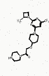 C[C@H]1CCN1c1nc(N2CCC(OCC(=O)N3CCNCC3)CC2)cc(C(F)(F)F)n1